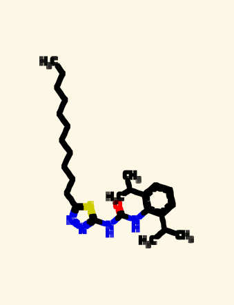 CCCCCCCCCCCc1nnc(NC(=O)Nc2c(C(C)C)cccc2C(C)C)s1